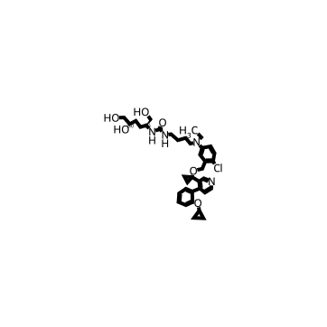 CCN(CCCCNC(=O)N[C@H](CO)CC[C@H](O)CO)c1ccc(Cl)c(COC2(c3cnccc3-c3ccccc3OC3CC3)CC2)c1